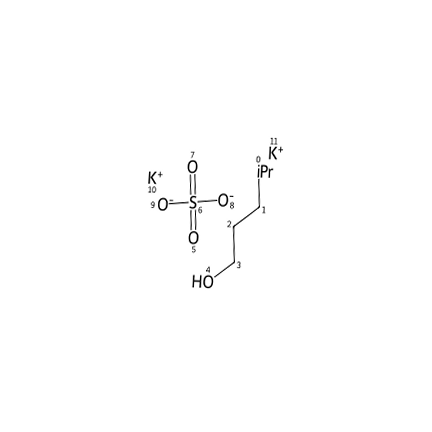 CC(C)CCCO.O=S(=O)([O-])[O-].[K+].[K+]